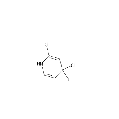 ClC1=CC(Cl)(I)C=CN1